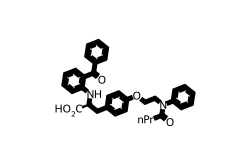 CCCC(=O)N(CCOc1ccc(C[C@H](Nc2ccccc2C(=O)c2ccccc2)C(=O)O)cc1)c1ccccc1